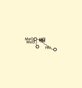 COc1ccc(CCNCCCCCCNCCc2ccccc2)c(CCc2ccccc2)c1OC.Cl.Cl